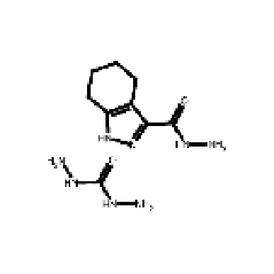 NNC(=O)NN.NNC(=O)c1n[nH]c2c1CCCC2